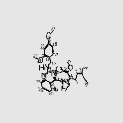 COC(=O)[C@@H](CCC(C)C)Nc1nc(NCc2ccc(OC)cc2OC)nc2cccnc12